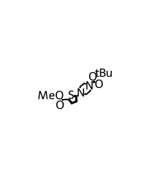 COC(=O)c1ccc(N2CCN(C(=O)OC(C)(C)C)CC2)s1